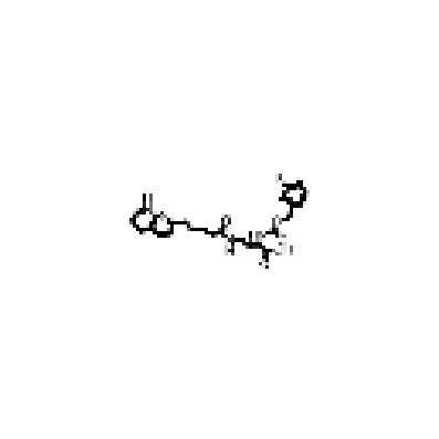 O=C(CCCCc1ccc2c(n1)NCCC2)NCCC(NC(=O)OCc1ccc(F)c(F)c1)C(=O)O